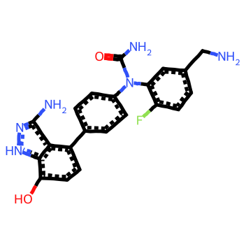 NCc1ccc(F)c(N(C(N)=O)c2ccc(-c3ccc(O)c4[nH]nc(N)c34)cc2)c1